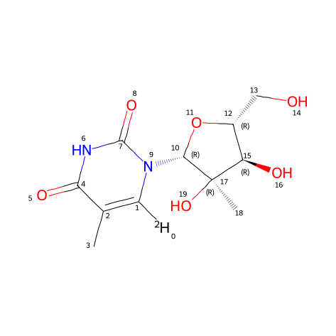 [2H]c1c(C)c(=O)[nH]c(=O)n1[C@@H]1O[C@H](CO)[C@@H](O)[C@@]1(C)O